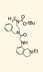 CCN1CCc2cccc(NCC(=O)N(CCN(C)C(=O)OC(C)(C)C)Cc3ccccc3)c2C1